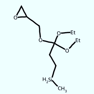 CCOC(CC[SiH2]C)(OCC)OCC1CO1